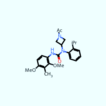 COc1ccc(NC(=O)N(c2ccccc2C(C)C)C2CN(C(C)=O)C2)c(OC)c1C